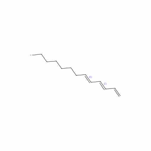 [CH2]CCCCCC/C=C/C=C/C=C